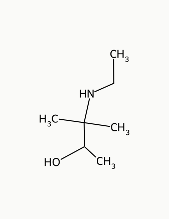 CCNC(C)(C)C(C)O